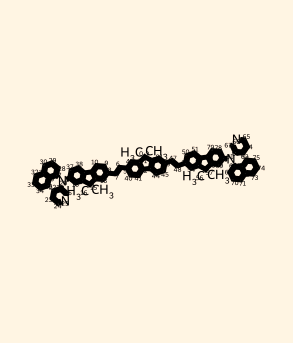 CC1(C)c2cc(/C=C/c3ccc4c(c3)C(C)(C)c3cc(N(c5cccnc5)c5cccc6ccccc56)ccc3-4)ccc2-c2ccc(/C=C/c3ccc4c(c3)C(C)(C)c3cc(N(c5cccnc5)c5cccc6ccccc56)ccc3-4)cc21